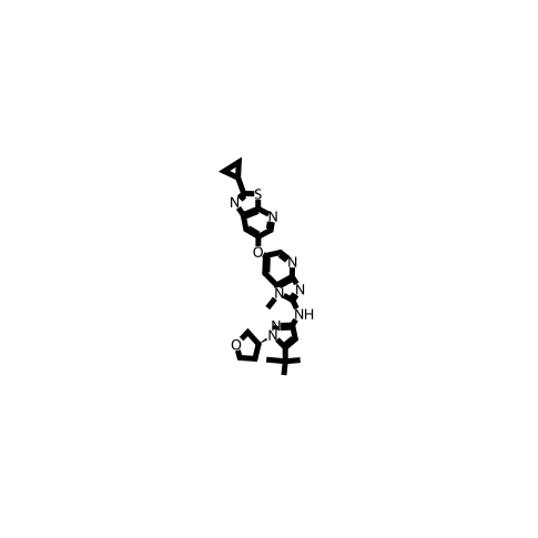 Cn1c(Nc2cc(C(C)(C)C)n([C@@H]3CCOC3)n2)nc2ncc(Oc3cnc4sc(C5CC5)nc4c3)cc21